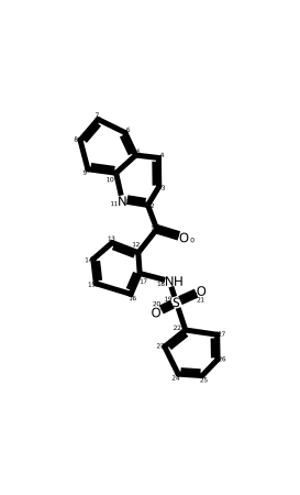 O=C(c1ccc2ccccc2n1)c1ccccc1NS(=O)(=O)c1ccccc1